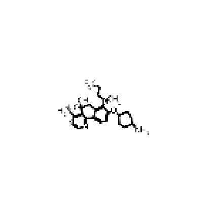 CN(CCC(F)(F)F)c1c(OC2CCC(N)CC2)ccc2c1CC(C)(C)c1c(N)ncnc1-2